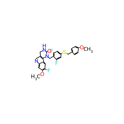 COc1ccc(CSc2cc(F)c(CN3C(=O)NCc4cnc5cc(OC)c(F)cc5c43)c(F)c2)cc1